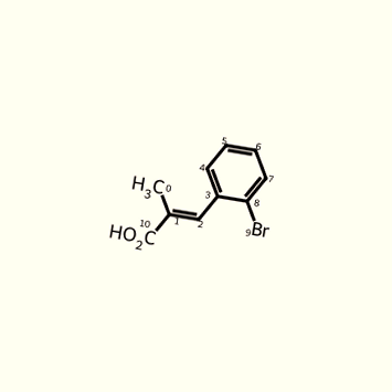 CC(=Cc1ccccc1Br)C(=O)O